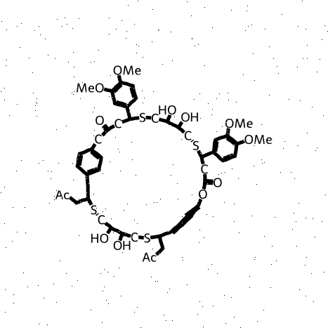 COc1ccc(C2CC(=O)Cc3ccc(cc3)C(CC(C)=O)SCC(O)C(O)CSC(CC(C)=O)c3ccc(cc3)OC(=O)CC(c3ccc(OC)c(OC)c3)SCC(O)C(O)CS2)cc1OC